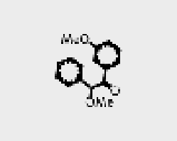 COc1cccc(C(=O)C(OC)c2ccccc2)c1